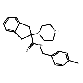 O=C(NCc1ccc(F)cc1)C1(N2CCNCC2)Cc2ccccc2C1